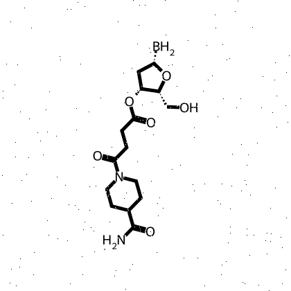 B[C@H]1C[C@@H](OC(=O)CCC(=O)N2CCC(C(N)=O)CC2)[C@@H](CO)O1